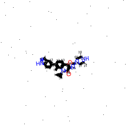 Cc1c(-c2ccc3[nH]ncc3c2)ccc2c3oc(N4C[C@@H](C)N[C@@H](C)C4)nc3c(=O)n(C3CC3)c12